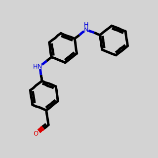 O=Cc1ccc(Nc2ccc(Nc3ccccc3)cc2)cc1